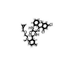 CN(CCOCC1CC1)c1ncc(F)cc1C(=O)NC1N=C(c2c(Cl)cc(Cl)cc2Cl)c2ccccc2NC1=O